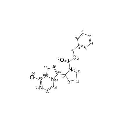 O=C(OCc1ccccc1)N1CCCC1c1ccc2c(Cl)nccn12